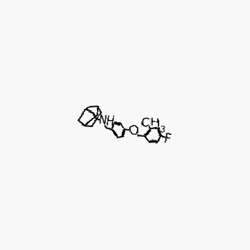 Cc1cc(F)ccc1COc1ccc(CNC23CC4CC(CC(C4)C2)C3)cc1